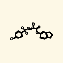 CCC(CNS(=O)(=O)c1ccc(Cl)cc1)C(=O)Oc1ccc2c(c1)CCC2